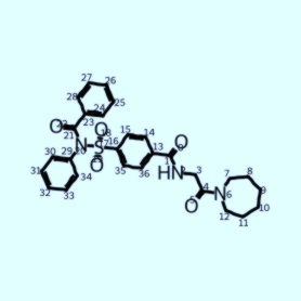 O=C(NCC(=O)N1CCCCCC1)c1ccc(S(=O)(=O)N(C(=O)c2ccccc2)c2ccccc2)cc1